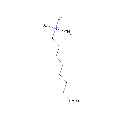 CCCCCCCCCCCCC[N+](C)(C)[O-]